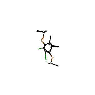 Cc1c(C)c(SC(C)C)c(F)c(F)c1SC(C)C